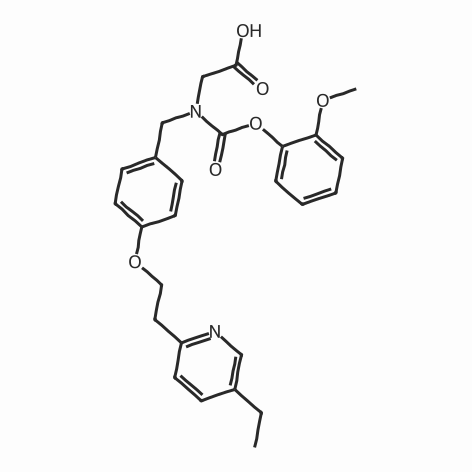 CCc1ccc(CCOc2ccc(CN(CC(=O)O)C(=O)Oc3ccccc3OC)cc2)nc1